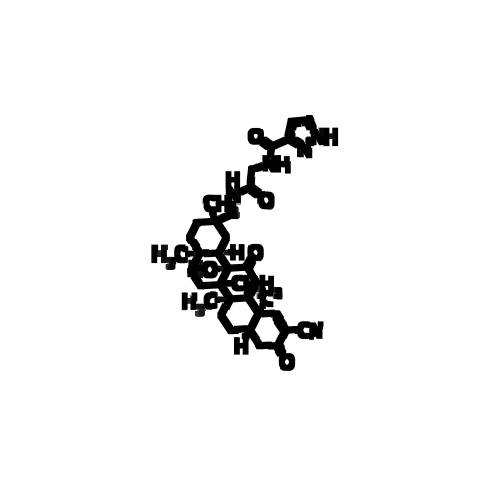 C[C@]1(CNC(=O)CNC(=O)c2cc[nH]n2)CC[C@]2(C)CC[C@@]3(C)[C@]4(C)CC[C@H]5CC(=O)C(C#N)=C[C@]5(C)C4=CC(=O)[C@]3(O)[C@@H]2C1